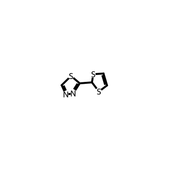 C1=CSC(c2nncs2)S1